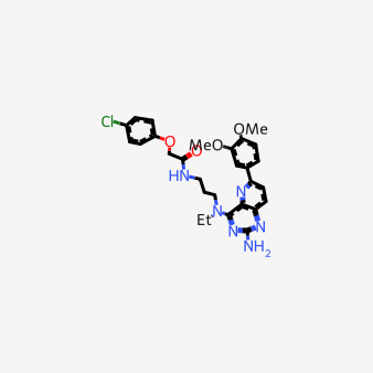 CCN(CCCNC(=O)COc1ccc(Cl)cc1)c1nc(N)nc2ccc(-c3ccc(OC)c(OC)c3)nc12